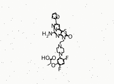 C[C@H](Oc1cc(N2CCN(CCn3c(=O)sc4c3nc(N)n3nc(-c5ccco5)cc43)CC2)c(F)cc1F)C(=O)O